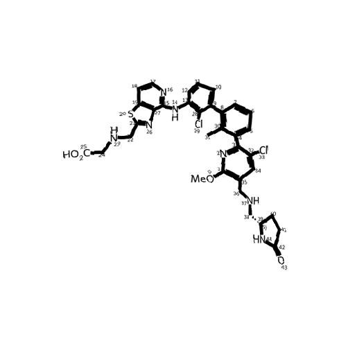 COc1nc(-c2cccc(-c3cccc(Nc4nccc5sc(CNCC(=O)O)nc45)c3Cl)c2C)c(Cl)cc1CNC[C@@H]1CCC(=O)N1